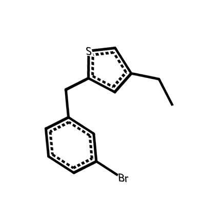 CCc1csc(Cc2cccc(Br)c2)c1